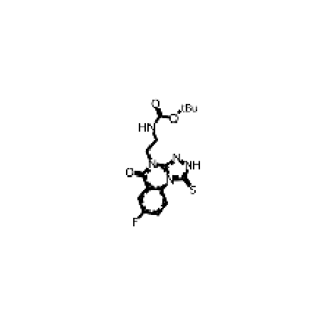 CC(C)(C)OC(=O)NCCn1c(=O)c2cc(F)ccc2n2c(=S)[nH]nc12